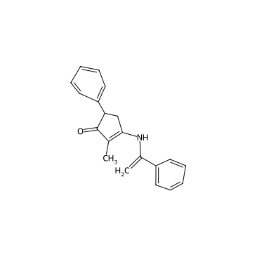 C=C(NC1=C(C)C(=O)C(c2ccccc2)C1)c1ccccc1